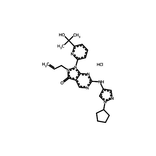 C=CCn1c(=O)c2cnc(Nc3cnn(C4CCCC4)c3)nc2n1-c1cccc(C(C)(C)O)n1.Cl